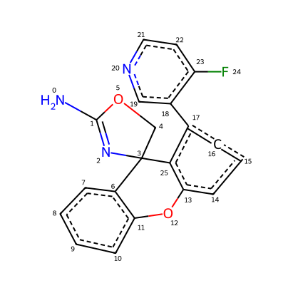 NC1=NC2(CO1)c1ccccc1Oc1cccc(-c3cnccc3F)c12